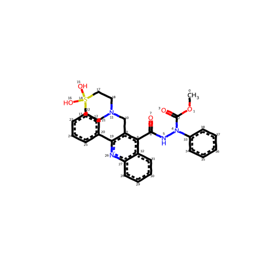 COC(=O)N(NC(=O)c1c(CN2CCS(O)(O)CC2)c(-c2ccccc2)nc2ccccc12)c1ccccc1